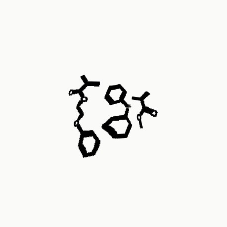 C=C(C)C(=O)OC.C=C(C)C(=O)OCCOc1ccccc1.c1ccc([I+]c2ccccc2)cc1